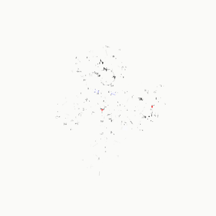 Cn1nc2c(c1CC(=O)/N=c1\scc(-c3ccc(F)c(C(F)(F)F)c3F)n1C(OP(=O)(OC(n1c(-c3ccc(F)c(C(F)(F)F)c3F)cs/c1=N\C(=O)Cc1c3c(=O)n(C)c(=O)n(C)c3nn1C)(C(C)(C)C)C(C)(C)C)OC(n1c(-c3ccc(F)c(C(F)(F)F)c3F)cs/c1=N\C(=O)Cc1c3c(=O)n(C)c(=O)n(C)c3nn1C)(C(C)(C)C)C(C)(C)C)(C(C)(C)C)C(C)(C)C)c(=O)n(C)c(=O)n2C